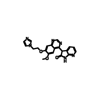 COc1cc2c(C3C(=O)Nc4ncccc43)ncnc2cc1OCCn1ccnc1